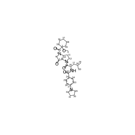 COC1(C(=O)N2CC(=O)C3C2CCN3C(=O)C(CC(C)C)NC(=O)c2ccc(N3CCCC3)cc2)CCCCC1